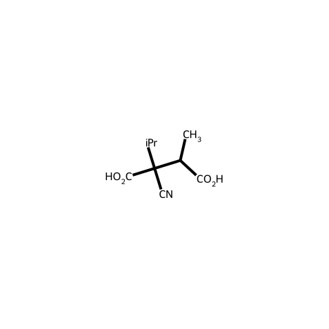 CC(C)C(C#N)(C(=O)O)C(C)C(=O)O